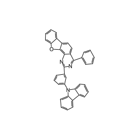 c1ccc(-c2nc(-c3cccc(-n4c5ccccc5c5ccccc54)c3)nc3c2ccc2c4ccccc4oc23)cc1